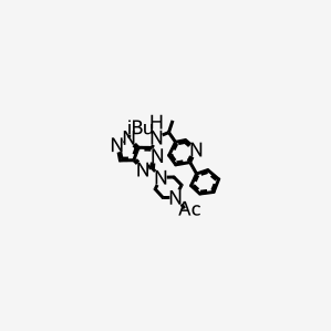 CCC(C)n1ncc2nc(N3CCN(C(C)=O)CC3)nc(NC(C)c3ccc(-c4ccccc4)nc3)c21